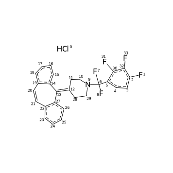 Cl.Fc1ccc(C(F)(F)N2CCC(=C3c4ccccc4C=Cc4ccccc43)CC2)c(F)c1F